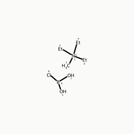 CC[N+](C)(CC)CC.OB(O)Cl